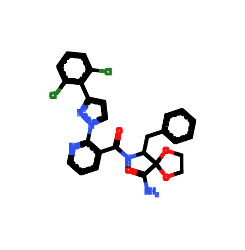 NC(=O)C1(C(Cc2ccccc2)NC(=O)c2cccnc2-n2ccc(-c3c(Cl)cccc3Cl)n2)OCCO1